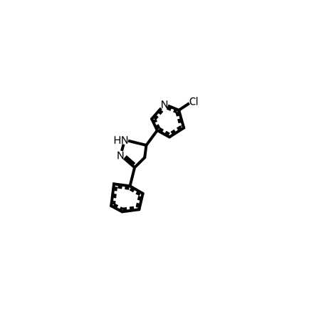 Clc1ccc(C2CC(c3ccccc3)=NN2)cn1